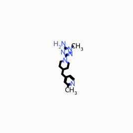 Cc1cc(CC2CCN(c3nc(N)n(C)n3)CC2)ccn1